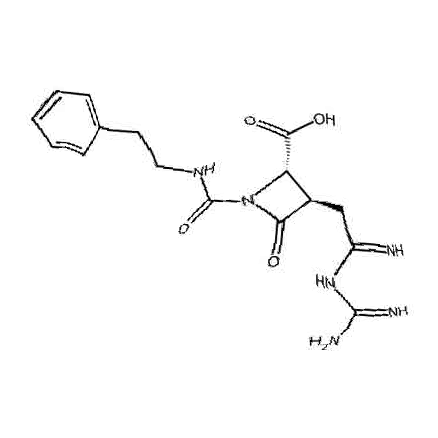 N=C(N)NC(=N)C[C@H]1C(=O)N(C(=O)NCCc2ccccc2)[C@@H]1C(=O)O